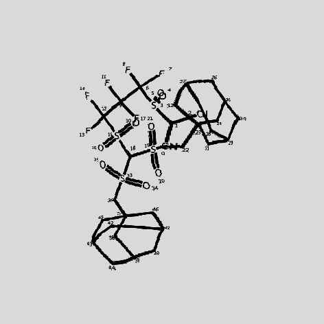 N#CC(C#N)S(=O)(=O)C(F)(F)C(F)(F)C(F)(F)S(=O)(=O)C(S(=O)(=O)CC12CC3CC(CC(C3)C1)C2)S(=O)(=O)CC12CC3CC(CC(C3)C1)C2